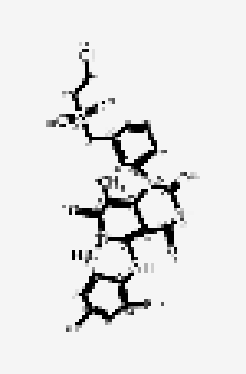 Cc1c(=O)n(C)c(Nc2ccc(I)cc2F)c2c(=O)[nH]c(=O)n(-c3cccc(CS(=O)(=O)CCO)c3)c12